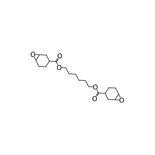 O=C(OCCCCCCOC(=O)C1CCC2OC2C1)C1CCC2OC2C1